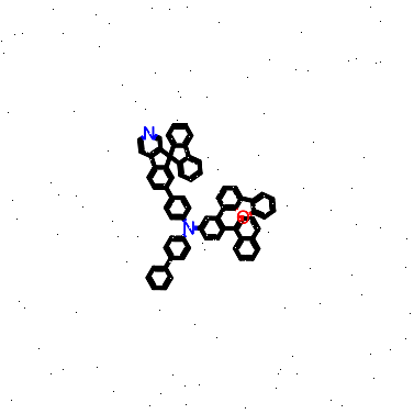 c1ccc(-c2ccc(N(c3ccc(-c4ccc5c(c4)C4(c6ccccc6-c6ccccc64)c4cnccc4-5)cc3)c3ccc(-c4cccc5ccccc45)c(-c4cccc5c4oc4ccccc45)c3)cc2)cc1